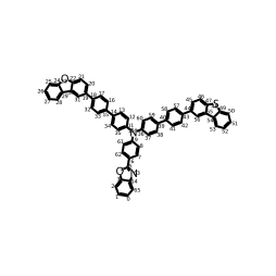 c1ccc2oc(-c3ccc(N(c4ccc(-c5ccc(-c6ccc7oc8ccccc8c7c6)cc5)cc4)c4ccc(-c5ccc(-c6ccc7sc8ccccc8c7c6)cc5)cc4)cc3)nc2c1